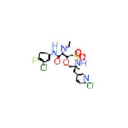 C=CN(C)/C(C(=O)Nc1ccc(F)c(Cl)c1)=C1\CS(=O)(=O)NC(C)(Cc2ccc(Cl)nc2)CO1